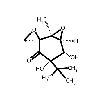 CC(C)(C)[C@@]1(O)C(=O)[C@]2(CO2)[C@@]2(C)O[C@H]2[C@@H]1O